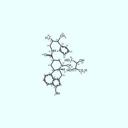 CCC(C)n1cc2c3c(cccc31)C1C[C@@H](C(=O)NCC(C)C(C)n3ccnc3)CN(C)[C@@H]1C2.O=C(O)C(O)C(O)C(=O)O